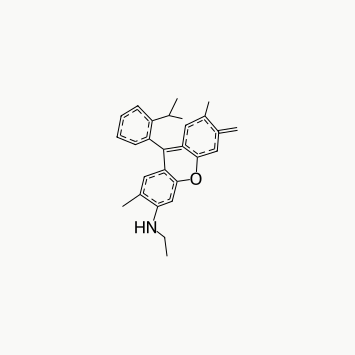 C=c1cc2c(cc1C)=C(c1ccccc1C(C)C)c1cc(C)c(NCC)cc1O2